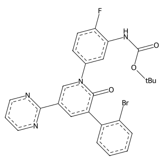 CC(C)(C)OC(=O)Nc1cc(-n2cc(-c3ncccn3)cc(-c3ccccc3Br)c2=O)ccc1F